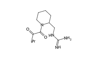 CC(C)C(=O)C(=O)N1CCCCC1CNC(=N)N